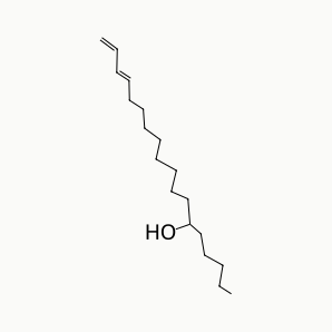 C=CC=CCCCCCCCCC(O)CCCCC